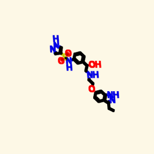 CCc1n[nH]c2cc(OCCNC[C@H](O)c3cccc(NS(=O)(=O)c4cn[nH]c4)c3)ccc12